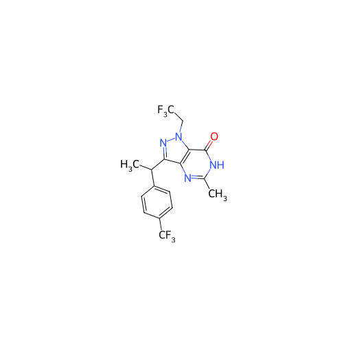 Cc1nc2c(C(C)c3ccc(C(F)(F)F)cc3)nn(CC(F)(F)F)c2c(=O)[nH]1